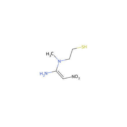 CN(CCS)C(N)=C[N+](=O)[O-]